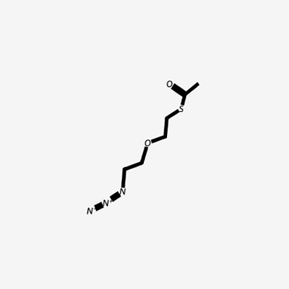 CC(=O)SCCOCCN=[N+]=[N-]